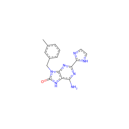 Cc1cccc(Cn2c(=O)[nH]c3c(N)nc(-c4ncc[nH]4)nc32)c1